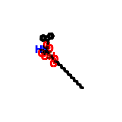 CCCCCCCCCCCCCCCCCC(=O)OCCSCC(NC(=O)OCC1c2ccccc2-c2ccccc21)C(=O)O